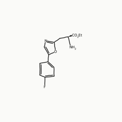 CCOC(=O)[C@@H](N)Cc1ncc(-c2ccc(F)cc2)o1